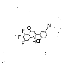 N#Cc1ccc(Cl)c(-c2cc(=O)c3c(F)c(F)c(F)cc3[nH]2)c1